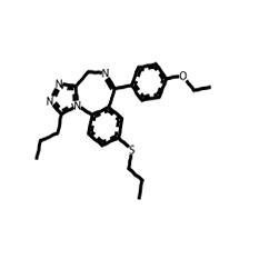 CCCSc1ccc2c(c1)C(c1ccc(OCC)cc1)=NCc1nnc(CCC)n1-2